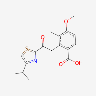 COc1ccc(C(=O)O)c(CC(=O)c2nc(C(C)C)cs2)c1C